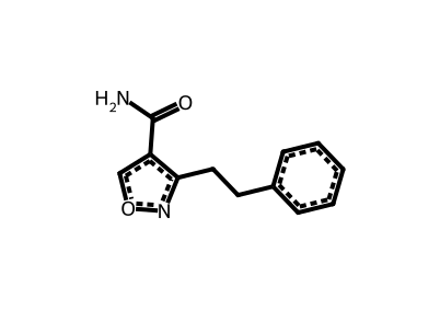 NC(=O)c1conc1CCc1ccccc1